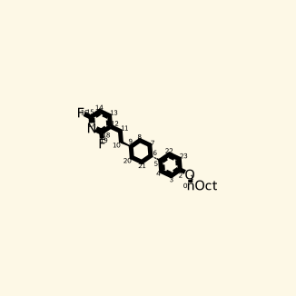 CCCCCCCCOc1ccc([C@H]2CC[C@H](CCc3ccc(F)nc3F)CC2)cc1